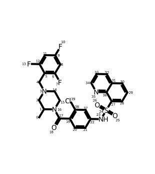 CC1CN(Cc2c(F)cc(F)cc2F)CCN1C(=O)c1ccc(NS(=O)(=O)c2cccc3cccnc23)cc1Cl